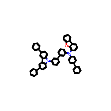 c1ccc(-c2ccc(N(c3cccc(-c4cccc(-n5c6ccc(-c7ccccc7)cc6c6cc(-c7ccccc7)ccc65)c4)c3)c3cccc4c3oc3ccccc34)cc2)cc1